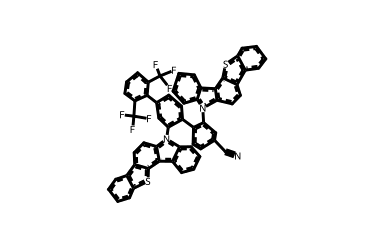 N#Cc1ccc(-c2ccc(-c3c(C(F)(F)F)cccc3C(F)(F)F)cc2-n2c3ccccc3c3c4sc5ccccc5c4ccc32)c(-n2c3ccccc3c3c4sc5ccccc5c4ccc32)c1